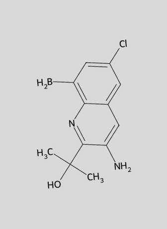 Bc1cc(Cl)cc2cc(N)c(C(C)(C)O)nc12